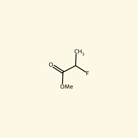 COC(=O)C(C)F